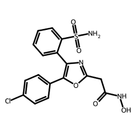 NS(=O)(=O)c1ccccc1-c1nc(CC(=O)NO)oc1-c1ccc(Cl)cc1